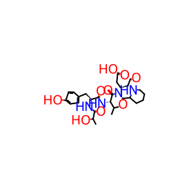 CC(O)C(=O)N[C@@H](Cc1ccc(O)cc1)C(=O)N[C@H](C(=O)N(C(=O)C1CCCCN1)[C@H](CC=O)CC(=O)O)C(C)C